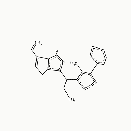 C=CC1=CCc2c(C(CC)c3cccc(-c4ccccc4)c3C)n[nH]c21